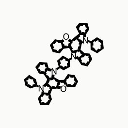 c1ccc(-n2c3ccccc3c3c4oc5ccccc5c4c4c(c5ccccc5n4-c4ccc(-n5c6ccccc6c6c7c(c8ccccc8n7-c7ccccc7)c7oc8ccccc8c7c65)cc4)c32)cc1